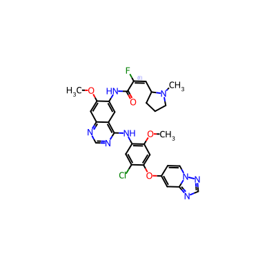 COc1cc2ncnc(Nc3cc(Cl)c(Oc4ccn5ncnc5c4)cc3OC)c2cc1NC(=O)/C(F)=C\C1CCCN1C